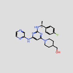 C[C@H](Nc1nc(Nc2cnccn2)cc(N2CCC(CO)CC2)n1)c1ccc(F)cc1